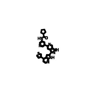 O=C(Nc1cncc(-c2cc3c(-c4cc5c(-c6ccsc6)ccnc5[nH]4)n[nH]c3cn2)c1)C1CCCC1